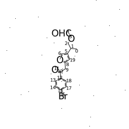 CC(COC=O)c1coc(CC(=O)c2ccc(Br)cc2)c1